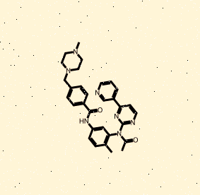 CC(=O)N(c1nccc(-c2cccnc2)n1)c1cc(NC(=O)c2ccc(CN3CCN(C)CC3)cc2)ccc1C